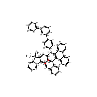 CC1(C)c2ccccc2-c2ccc(N(c3ccc(-c4cccc(-c5ccccc5)c4)cc3)c3c(-c4cccc5ccccc45)c4ccccc4c4ccccc34)cc21